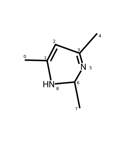 CC1=CC(C)=NC(C)N1